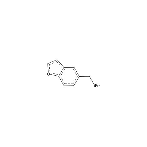 C[C](C)Cc1ccc2occc2c1